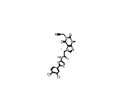 C[C@@H](C(=O)Nc1csc(-c2ccc(Cl)c(Cl)c2)n1)n1cnc2c1c(=O)n(CC#N)c(=O)n2C